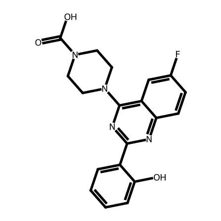 O=C(O)N1CCN(c2nc(-c3ccccc3O)nc3ccc(F)cc23)CC1